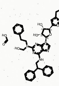 CCc1cc([C@H]2O[C@@H](n3cnc4c(NCC(c5ccccc5)c5ccccc5)nc(N(CO)CCc5ccccc5)nc43)[C@H](O)[C@@H]2O)on1.O=CO